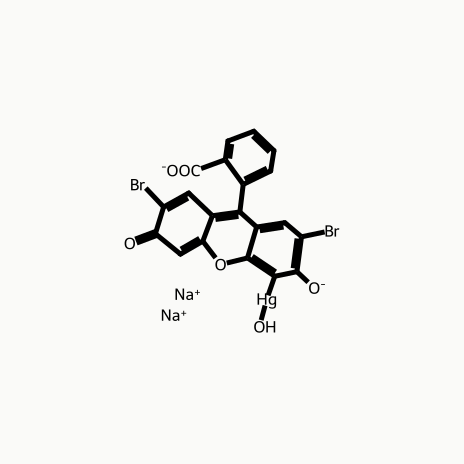 O=C([O-])c1ccccc1-c1c2cc(Br)c(=O)cc-2oc2[c]([Hg][OH])c([O-])c(Br)cc12.[Na+].[Na+]